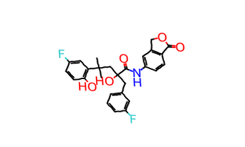 CC(C)(CC(O)(Cc1cccc(F)c1)C(=O)Nc1ccc2c(c1)COC2=O)c1cc(F)ccc1O